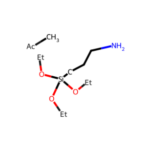 CC(C)=O.CCO[Si](CCCN)(OCC)OCC